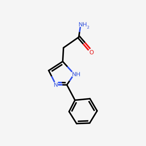 NC(=O)Cc1cnc(-c2ccccc2)[nH]1